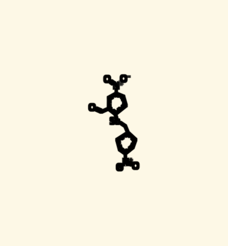 O=Cc1cc([N+](=O)[O-])ccc1[Se]Cc1ccc([N+](=O)[O-])cc1